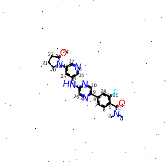 CN(C)C(=O)c1ccc(-c2cnc(Nc3cncc(N4CCCC4=O)c3)cn2)cc1F